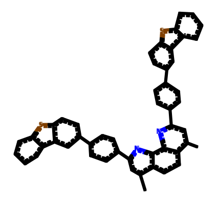 Cc1cc(-c2ccc(-c3ccc4sc5ccccc5c4c3)cc2)nc2c1ccc1c(C)cc(-c3ccc(-c4ccc5sc6ccccc6c5c4)cc3)nc12